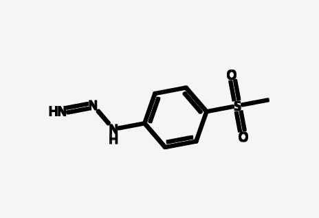 CS(=O)(=O)c1ccc(NN=N)cc1